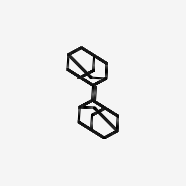 C1[C]2CC3CC1CC(C3)C2=C1C2CC3CC(C2)CC1C3